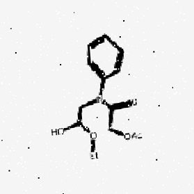 CCOC(O)CN(C(=O)COC(C)=O)c1ccccc1